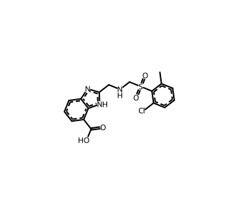 Cc1cccc(Cl)c1S(=O)(=O)CNCc1nc2cccc(C(=O)O)c2[nH]1